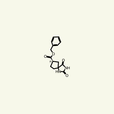 O=C1NC(=O)C2(CC[C@@H](C(=O)OCc3ccccc3)C2)N1